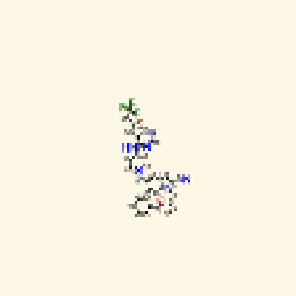 CCC(Cn1c(C#N)cc2cc(CN3CCC(Nc4ncnc5sc(CC(F)(F)F)cc45)CC3)ccc21)OCC1CCCCC1